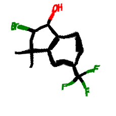 CC1(C)c2cc(C(F)(F)F)ccc2C(O)C1Br